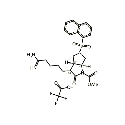 COC(=O)N1C(=O)[C@H](CCCCC(=N)N)[C@@H]2CN(S(=O)(=O)c3cccc4ccccc34)C[C@H]21.O=C(O)C(F)(F)F